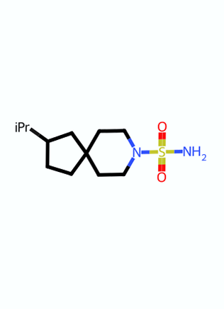 CC(C)C1CCC2(CCN(S(N)(=O)=O)CC2)C1